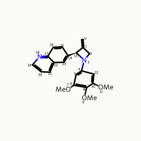 C=C1CN(c2cc(OC)c(OC)c(OC)c2)[C@H]1c1ccc2ncccc2c1